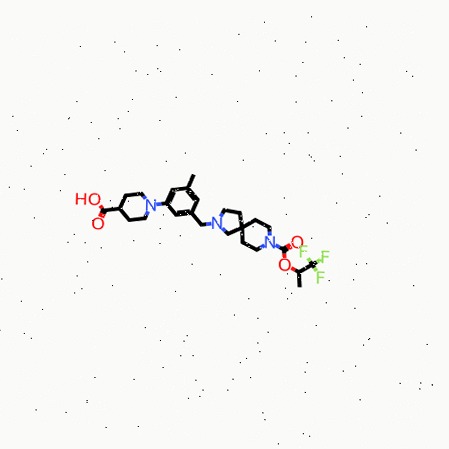 Cc1cc(CN2CCC3(CCN(C(=O)OC(C)C(F)(F)F)CC3)C2)cc(N2CCC(C(=O)O)CC2)c1